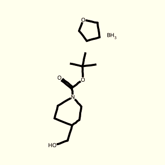 B.C1CCOC1.CC(C)(C)OC(=O)N1CCC(CO)CC1